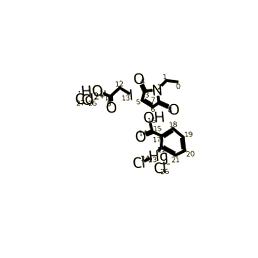 CCN1C(=O)C=CC1=O.O=C(O)CI.O=C(O)c1cccc[c]1[Hg][Cl].[Cl-].[Cl-].[Co+2]